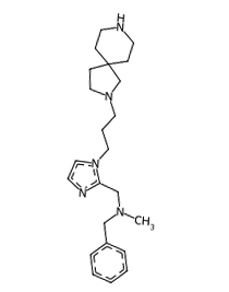 CN(Cc1ccccc1)Cc1nccn1CCCN1CCC2(CCNCC2)C1